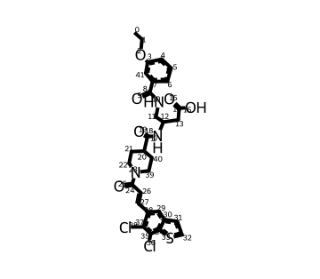 CCOc1cccc(C(=O)NCC(CC(=O)O)NC(=O)C2CCN(C(=O)C=Cc3cc4ccsc4c(Cl)c3Cl)CC2)c1